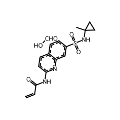 C=CC(=O)Nc1ccc2ccc(S(=O)(=O)NC3(C)CC3)cc2n1.O=CO